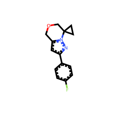 Fc1ccc(-c2cc3n(n2)C2(CC2)COC3)cc1